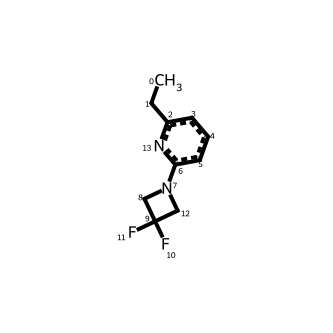 CCc1cccc(N2CC(F)(F)C2)n1